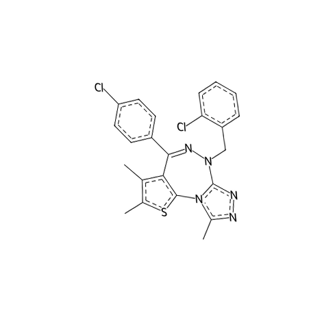 Cc1sc2c(c1C)C(c1ccc(Cl)cc1)=NN(Cc1ccccc1Cl)c1nnc(C)n1-2